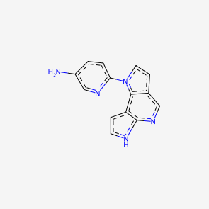 Nc1ccc(-n2ccc3cnc4[nH]ccc4c32)nc1